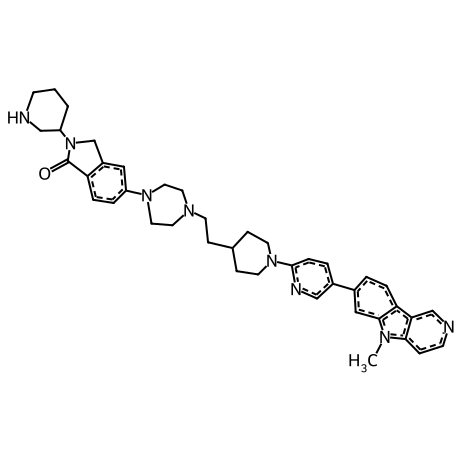 Cn1c2ccncc2c2ccc(-c3ccc(N4CCC(CCN5CCN(c6ccc7c(c6)CN(C6CCCNC6)C7=O)CC5)CC4)nc3)cc21